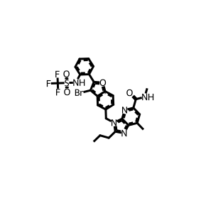 CCCc1nc2c(C)cc(C(=O)NC)nc2n1Cc1ccc2oc(-c3ccccc3NS(=O)(=O)C(F)(F)F)c(Br)c2c1